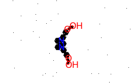 OCCCOc1ccc(-c2ccc(N3c4ccccc4B4c5ccccc5N(c5ccc(-c6ccc(OCCCO)cc6)cc5)c5cccc3c54)cc2)cc1